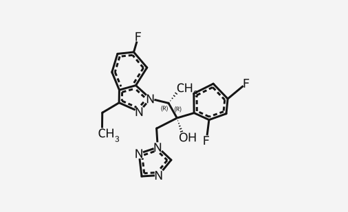 CCc1nn([C@H](C)[C@](O)(Cn2cncn2)c2ccc(F)cc2F)c2cc(F)ccc12